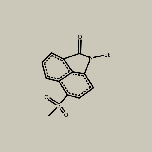 CCN1C(=O)c2cccc3c(S(C)(=O)=O)ccc1c23